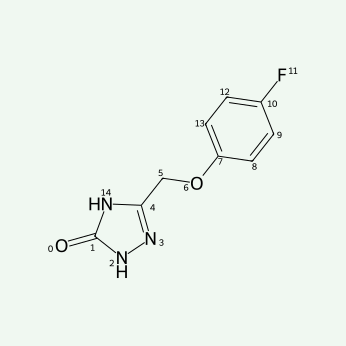 O=c1[nH]nc(COc2ccc(F)cc2)[nH]1